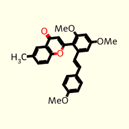 COc1ccc(/C=C/c2cc(OC)cc(OC)c2-c2cc(=O)c3cc(C)ccc3o2)cc1